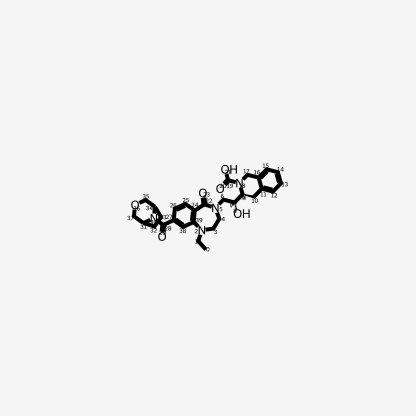 CCN1CCN(C[C@@H](O)[C@@H]2Cc3ccccc3CN2C(=O)O)C(=O)c2ccc(C(=O)N3C4CCC3COC4)cc21